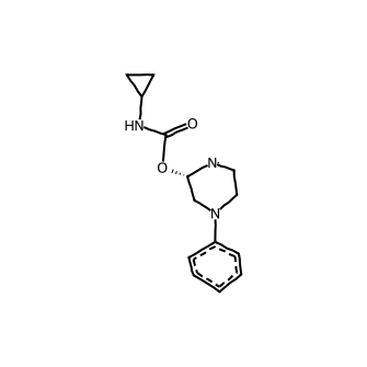 O=C(NC1CC1)O[C@H]1CN(c2ccccc2)CC[N]1